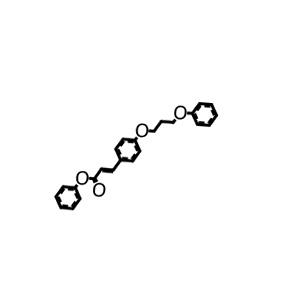 O=C(/C=C/c1ccc(OCCCOc2ccccc2)cc1)Oc1ccccc1